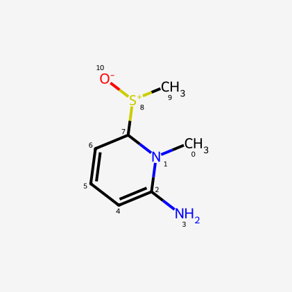 CN1C(N)=CC=CC1[S+](C)[O-]